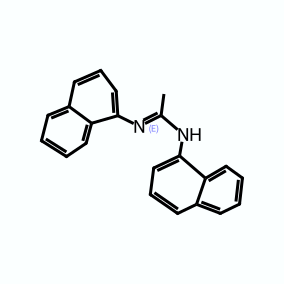 C/C(=N\c1cccc2ccccc12)Nc1cccc2ccccc12